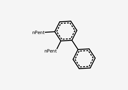 CCCCCc1cccc(-c2ccccc2)c1CCCCC